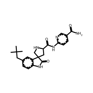 CC(C)(C)Cc1ccc2c(c1)C1(CNC(C(=O)Nc3ccc(C(N)=O)cn3)C1)C(=O)N2